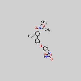 Cc1cc(C(=O)N2CC(C)OC(C)C2)ccc1-c1cccc(COc2ccc(Cn3oc(=O)[nH]c3=O)cc2)c1